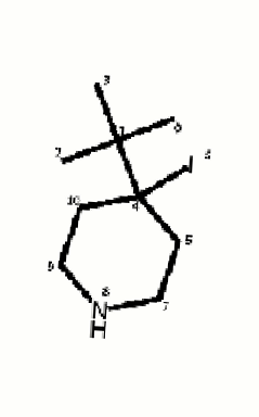 CC(C)(C)C1(I)CCNCC1